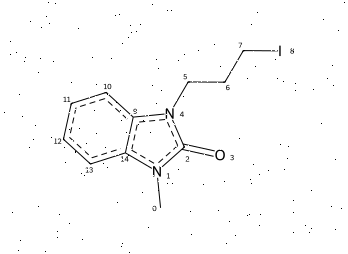 Cn1c(=O)n(CCCI)c2ccccc21